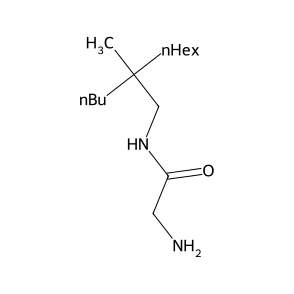 CCCCCCC(C)(CCCC)CNC(=O)CN